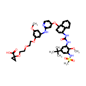 COc1cc(Nc2cc(Oc3ccc(NC(=O)Nc4cc(C(C)(C)C)cc(NS(C)(=O)=O)c4OC)c4ccccc34)ccn2)cc(OCCOCCOC2(C(=O)O)CC2)c1